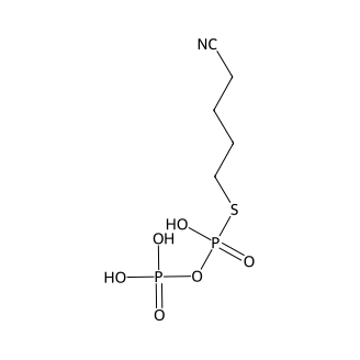 N#CCCCCSP(=O)(O)OP(=O)(O)O